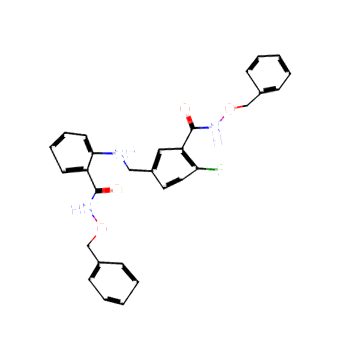 O=C(NOCc1ccccc1)c1cc(CNc2ccccc2C(=O)NOCc2ccccc2)ccc1F